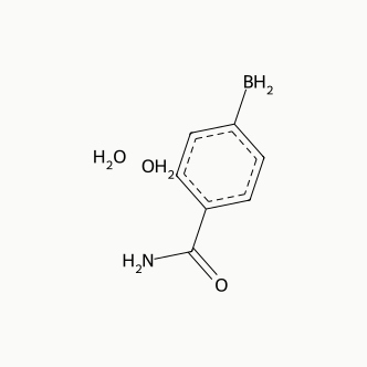 Bc1ccc(C(N)=O)cc1.O.O